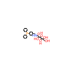 O=C(NCc1ccc(P(c2ccccc2)c2ccccc2)cc1)[C@H](O)[C@@H](O)[C@H](O)[C@H](O)CO